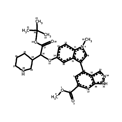 COC(=O)c1cc(-c2cn(C)c3ccc(OC(C(=O)OC(C)(C)C)C4CCCNC4)cc23)c2cn[nH]c2n1